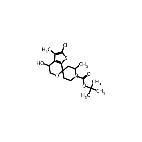 Cc1c(Cl)sc2c1C(O)COC21CCN(C(=O)OC(C)(C)C)C(C)C1